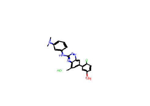 Cc1cc(-c2cc(O)ccc2Cl)cc2nnc(Nc3cccc(N(C)C)c3)nc12.Cl